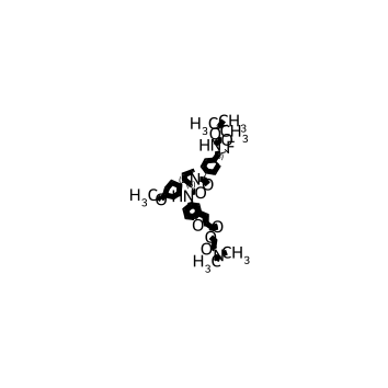 COC1CCC([C@@H]2CCN(C(=O)[C@H]3CC[C@H]([C@@H](CF)NC(=O)OC(C)(C)C)CC3)[C@@H]2C(=O)Nc2ccc3oc(C(=O)OCC(=O)N(C)C)cc3c2)CC1